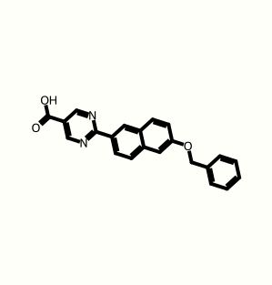 O=C(O)c1cnc(-c2ccc3cc(OCc4ccccc4)ccc3c2)nc1